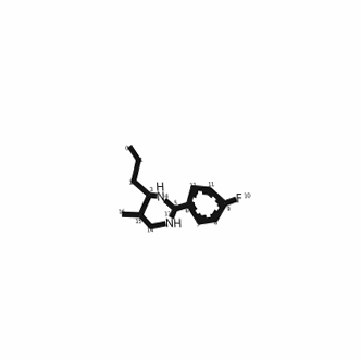 CCCC1NC(c2ccc(F)cc2)NCC1C